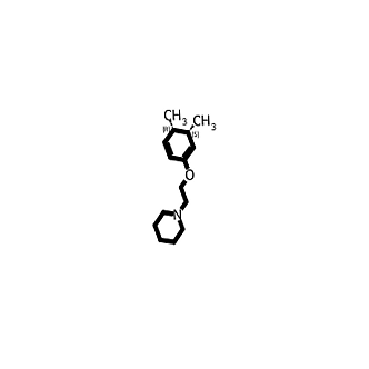 C[C@@H]1C=C(OCCN2CCCCC2)C=C[C@@H]1C